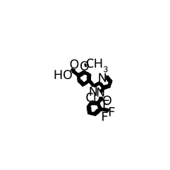 COc1cc(-c2nn(C(=O)c3c(Cl)cccc3C(F)(F)F)c3cccnc23)ccc1C(=O)O